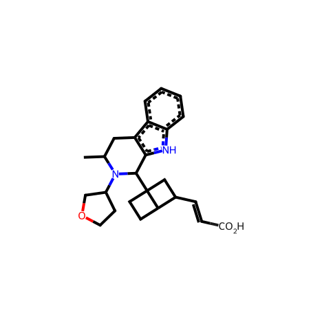 CC1Cc2c([nH]c3ccccc23)C(C23CCC2C(/C=C/C(=O)O)C3)N1C1CCOC1